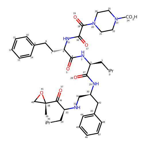 CC(C)C[C@H](NC(=O)[C@H](CCc1ccccc1)NC(=O)C(=O)N1CCN(C(=O)O)CC1)C(=O)N[C@H](CN[C@@H](CC(C)C)C(=O)[C@]1(C)CO1)Cc1ccccc1